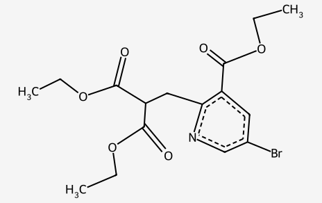 CCOC(=O)c1cc(Br)cnc1CC(C(=O)OCC)C(=O)OCC